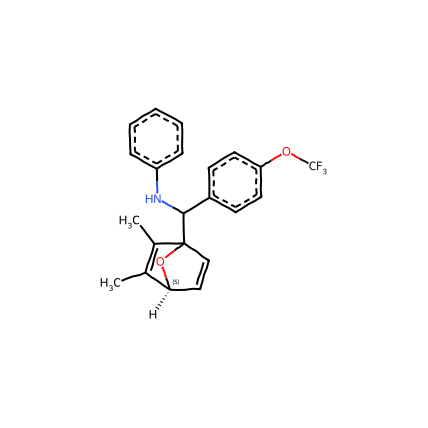 CC1=C(C)C2(C(Nc3ccccc3)c3ccc(OC(F)(F)F)cc3)C=C[C@@H]1O2